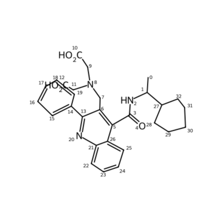 CC(NC(=O)c1c(CN(CC(=O)O)CC(=O)O)c(-c2ccccc2)nc2ccccc12)C1CCCCC1